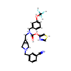 N#Cc1cccc(CN2CC3C(C2)C3CN(Cc2cccc(OC(F)(F)F)c2)C(=O)Oc2cscn2)c1